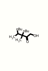 CCCCC(C)C(C)(CCCC)C(=O)CO